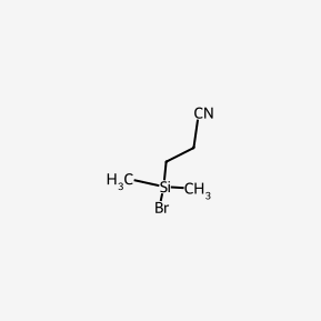 C[Si](C)(Br)CCC#N